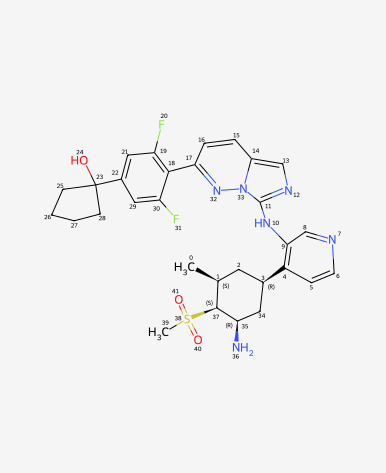 C[C@H]1C[C@@H](c2ccncc2Nc2ncc3ccc(-c4c(F)cc(C5(O)CCCC5)cc4F)nn23)C[C@@H](N)[C@H]1S(C)(=O)=O